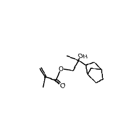 C=C(C)C(=O)OCC(C)(O)C1CC2CCC1C2